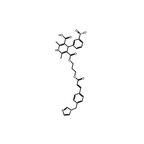 CC1=C(C(=O)O)C(c2cccc([N+](=O)[O-])c2)C(C(=O)OCCCOC(=O)/C=C/c2ccc(Cn3ccnc3)cc2)=C(C)N1